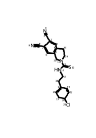 N#Cc1cc2c(cc1C#N)CN(C(=S)NCCC1=CCC(Cl)C=C1)CC2